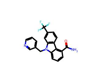 NC(=O)c1cccc2c1c1[c]cc(C(F)(F)F)cc1n2Cc1cccnc1